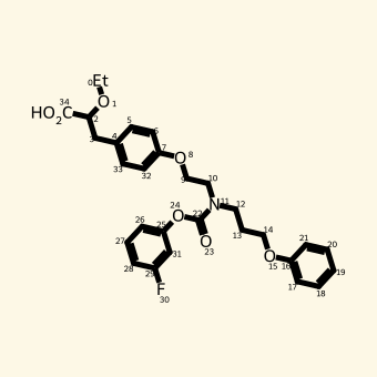 CCOC(Cc1ccc(OCCN(CCCOc2ccccc2)C(=O)Oc2cccc(F)c2)cc1)C(=O)O